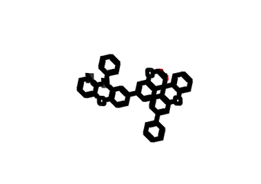 c1ccc(-c2ccc3c(c2)Oc2ccccc2C32c3ccccc3Oc3cc(-c4ccc5c(c4)N(c4ccccc4)c4ncccc4O5)ccc32)cc1